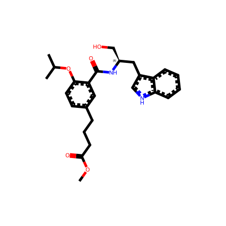 COC(=O)CCCc1ccc(OC(C)C)c(C(=O)N[C@@H](CO)Cc2c[nH]c3ccccc23)c1